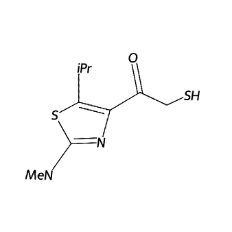 CNc1nc(C(=O)CS)c(C(C)C)s1